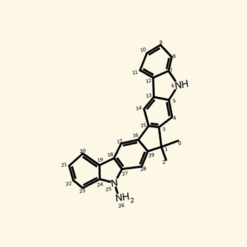 CC1(C)c2cc3[nH]c4ccccc4c3cc2-c2cc3c4ccccc4n(N)c3cc21